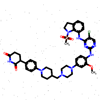 COc1cc(N2CCN(CC3CCN(c4ccc(C5CCC(=O)NC5=O)cc4)CC3)CC2)ccc1Nc1ncc(Cl)c(Nc2cccc3c2N(S(C)(=O)=O)CC3)n1